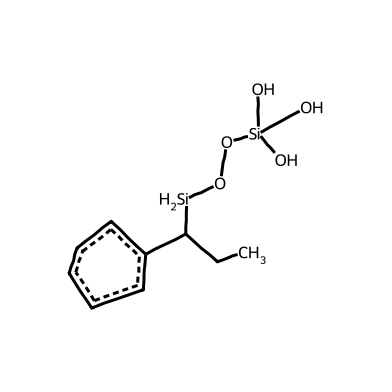 CCC([SiH2]OO[Si](O)(O)O)c1ccccc1